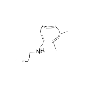 C=CCNc1cccc(C)c1C